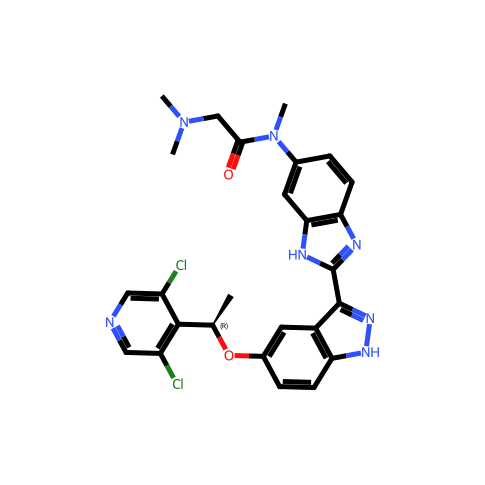 C[C@@H](Oc1ccc2[nH]nc(-c3nc4ccc(N(C)C(=O)CN(C)C)cc4[nH]3)c2c1)c1c(Cl)cncc1Cl